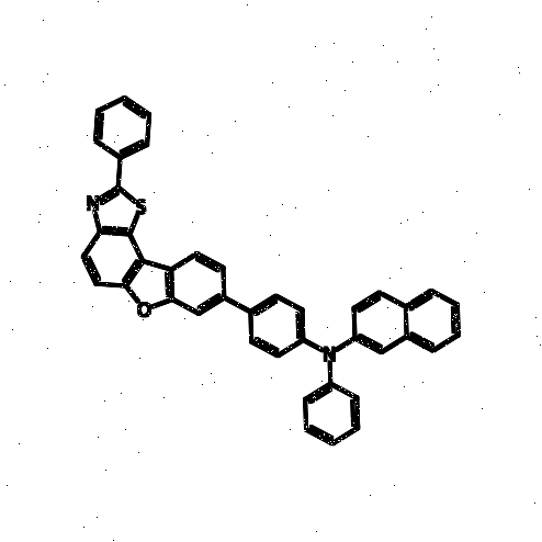 c1ccc(-c2nc3ccc4oc5cc(-c6ccc(N(c7ccccc7)c7ccc8ccccc8c7)cc6)ccc5c4c3s2)cc1